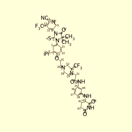 CC(C)c1cc(N2C(=S)N(c3cnc(C#N)c(C(F)(F)F)c3)C(=O)C2(C)C)ccc1OCCN1CCN(CC(=O)Nc2cccc(NC3CCC(=O)NC3=O)c2)C(C(F)(F)F)C1